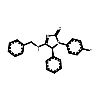 O=C1N=C(NCc2ccccc2)C(c2ccccc2)N1c1ccc(F)cc1